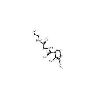 CC(C)C[CH]NC(=O)CNC(=O)c1cccc(Cl)c1Cl